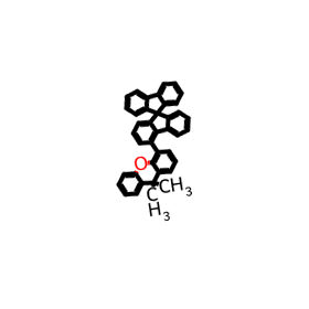 CC1(C)c2ccccc2Oc2c(-c3cccc4c3-c3ccccc3C43c4ccccc4-c4ccccc43)cccc21